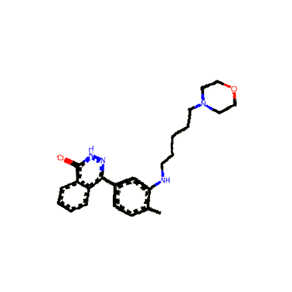 Cc1ccc(-c2n[nH]c(=O)c3ccccc23)cc1NCCCCCN1CCOCC1